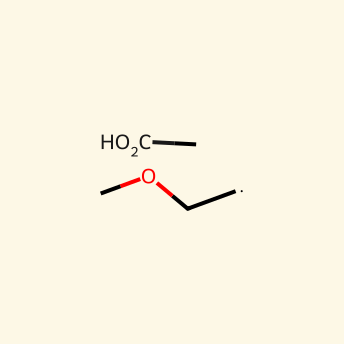 CC(=O)O.[CH2]COC